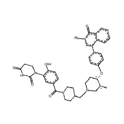 CCCCn1cc(-c2ccc(O[C@H]3CCN(CC4CCN(C(=O)c5ccc(OC)c(N6CCC(=O)NC6=O)c5)CC4)C[C@@H]3F)cc2)c2ccncc2c1=O